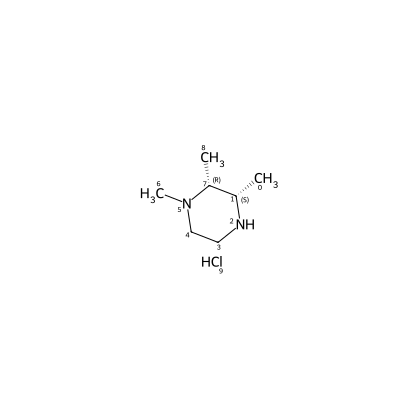 C[C@@H]1NCCN(C)[C@@H]1C.Cl